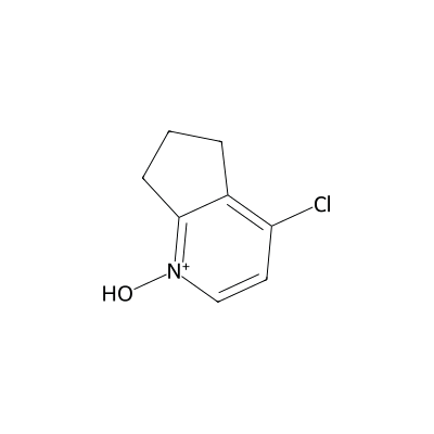 O[n+]1ccc(Cl)c2c1CCC2